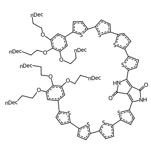 CCCCCCCCCCCCOc1cc(-c2ccc(-c3ccc(-c4ccc(-c5ccc(C6=C7C(=O)NC(c8ccc(-c9ccc(-c%10ccc(-c%11ccc(-c%12cc(OCCCCCCCCCCCC)c(OCCCCCCCCCCCC)c(OCCCCCCCCCCCC)c%12)s%11)s%10)s9)s8)=C7C(=O)N6)s5)s4)s3)s2)cc(OCCCCCCCCCCCC)c1OCCCCCCCCCCCC